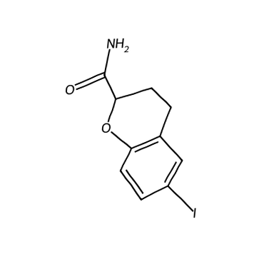 NC(=O)C1CCc2cc(I)ccc2O1